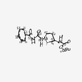 CC(C)(C)OC(=O)NC1CCN(NC(=O)NC(=O)c2ccccc2)CC1